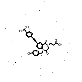 N=C(N)c1ccc(C#Cc2ccc3c(c2)C(=O)N(CCC(=O)O)CC(=O)N3Cc2ccc(Cl)cc2)cc1